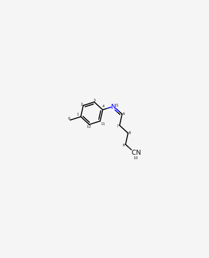 Cc1ccc(/N=C\CCCC#N)cc1